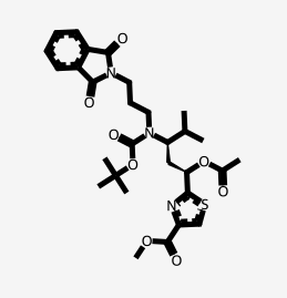 COC(=O)c1csc([C@@H](C[C@H](C(C)C)N(CCCN2C(=O)c3ccccc3C2=O)C(=O)OC(C)(C)C)OC(C)=O)n1